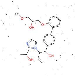 C=CC(C(O)c1ccc(-c2ccccc2OCC(O)COCC)cc1)n1ccnc1C(C)O